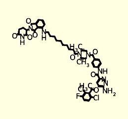 C[C@@H]1CN(C(=O)c2ccc(NC(=O)c3cc(O[C@H](C)c4c(Cl)ccc(F)c4Cl)c(N)nn3)cc2)C[C@H](C)N1C(=O)CCCCCCCCCNc1cccc2c1C(=O)N(C1CCC(=O)NC1=O)C2=O